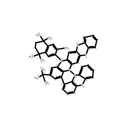 Cc1cc2c(cc1N1c3cc4c(cc3B3c5c(cc(C(C)(C)C)cc51)-c1cccc5c1N3c1ccccc1S5)Sc1ccccc1S4)C(C)(C)CCC2(C)C